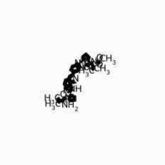 COC(=O)N[C@H](C(=O)N1CCC[C@H]1c1nc2c([nH]1)C=C(c1cc3ccc4nc([C@@H]5CCCN5C(=O)[C@@H](N)C(C)C)[nH]c4c3cn1)CC2)C(C)C